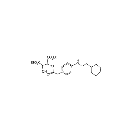 CCOC(=O)C(O)C(OC(=O)Cc1ccc(NCCC2CCCCC2)cc1)C(=O)OCC